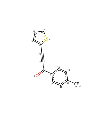 O=C(C#Cc1cccs1)c1ccc(C(F)(F)F)cc1